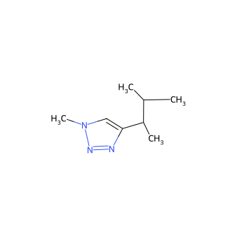 CC(C)C(C)c1cn(C)nn1